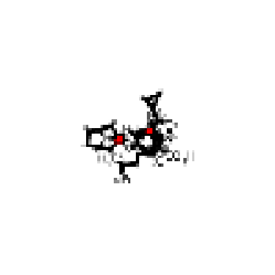 CC(CCC(C)C(C)C)c1noc(C2CC2)c1COC1CC2CCC(C1)N2c1nc2c(F)cc(C(=O)O)cc2s1